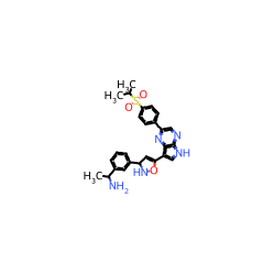 CC(N)c1cccc(C2C=C(c3c[nH]c4ncc(-c5ccc(S(=O)(=O)C(C)C)cc5)nc34)ON2)c1